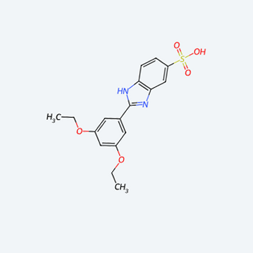 CCOc1cc(OCC)cc(-c2nc3cc(S(=O)(=O)O)ccc3[nH]2)c1